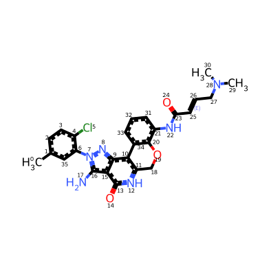 Cc1ccc(Cl)c(-n2nc3c4c([nH]c(=O)c3c2N)COc2c(NC(=O)/C=C/CN(C)C)cccc2-4)c1